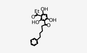 CCC(=O)c1c(O)cc(O)c(C(=O)CCCCc2ccccc2)c1O